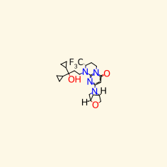 O=c1cc(N2C[C@@H]3C[C@H]2CO3)nc2n1CC[C@@H](C(F)(F)F)N2CCC(O)(C1CC1)C1CC1